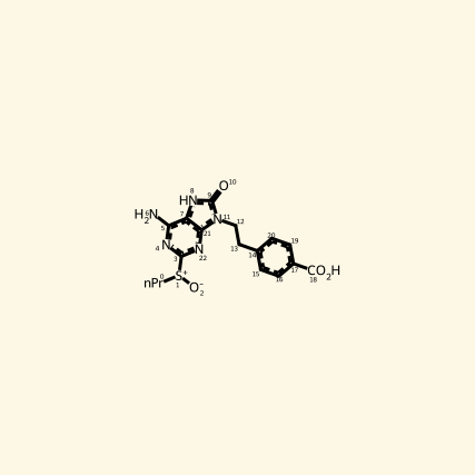 CCC[S+]([O-])c1nc(N)c2[nH]c(=O)n(CCc3ccc(C(=O)O)cc3)c2n1